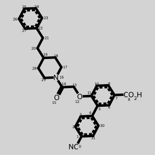 N#Cc1ccc(-c2cc(C(=O)O)ccc2OCC(=O)N2CCC(CCc3ccccc3)CC2)cc1